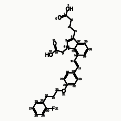 O=C(O)CCCc1cn(CC(=O)O)c2c(/C=C/c3ccc(OCCCc4ccccc4F)cc3)cccc12